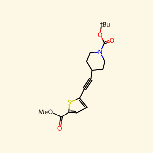 COC(=O)c1ccc(C#CC2CCN(C(=O)OC(C)(C)C)CC2)s1